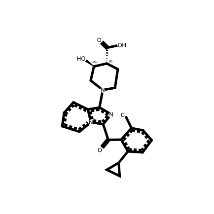 O=C(c1c(Cl)cccc1C1CC1)c1nc(N2CC[C@@H](C(=O)O)[C@H](O)C2)c2ccccn12